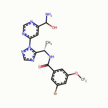 C[C@H](NC(=O)c1cc(Br)cc(OC(F)(F)F)c1)c1ncnn1-c1cc(C(N)O)ncn1